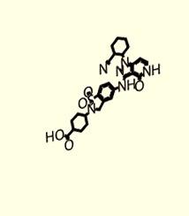 N#CC1CCCCC1n1nc(Nc2ccc3c(c2)CN(C2CCC(C(=O)O)CC2)S3(=O)=O)c2c(=O)[nH]ccc21